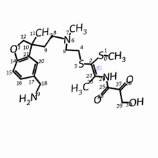 CS/C(SCCN(C)CCC1(C)COc2ccc(CN)cc21)=C(/C)NC(=O)C(=O)CO